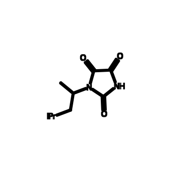 CC(C)CC(C)N1C(=O)NC(=O)C1=O